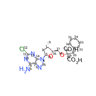 C[C@H]1C[C@H](n2cnc3c(N)nc(Cl)nc32)O[C@@H]1COC(Cc1ccccc1)(C(=O)O)C(=O)O